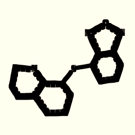 c1cnc2c(Sc3cccc4nonc34)cccc2c1